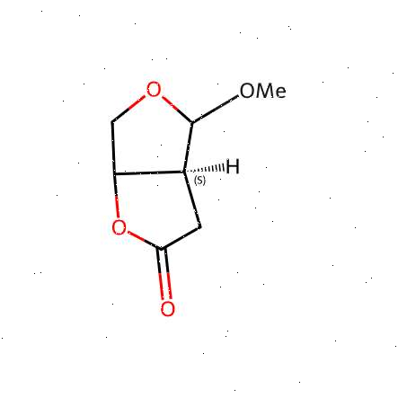 COC1OCC2OC(=O)C[C@@H]21